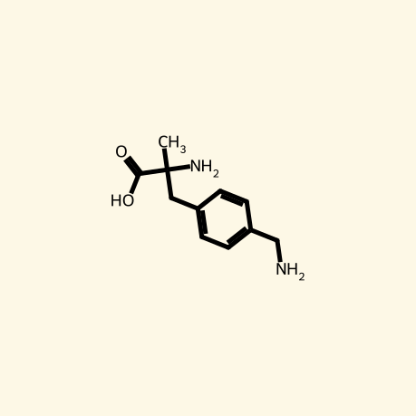 CC(N)(Cc1ccc(CN)cc1)C(=O)O